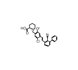 COc1cc(C=Cc2cccc(-c3ccccc3)c2C#N)c(Cl)cc1CN1CCCCC1C(=O)O